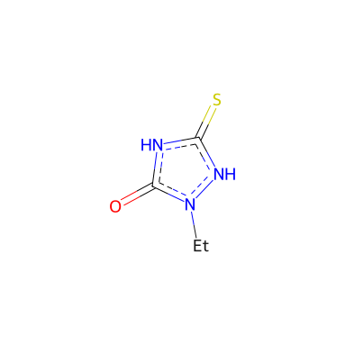 CCn1[nH]c(=S)[nH]c1=O